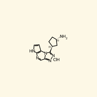 Cl.N[C@H]1CC[C@H](c2nnc3cnc4[nH]ccc4n23)C1